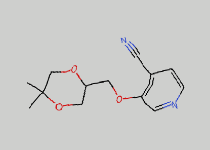 CC1(C)COC(COc2cnccc2C#N)CO1